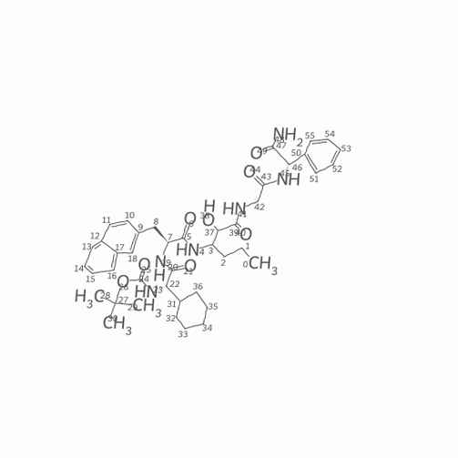 CCCC(NC(=O)[C@H](Cc1ccc2ccccc2c1)NC(=O)[C@@H](NC(=O)OC(C)(C)C)C1CCCCC1)C(O)C(=O)NCC(=O)N[C@H](C(N)=O)c1ccccc1